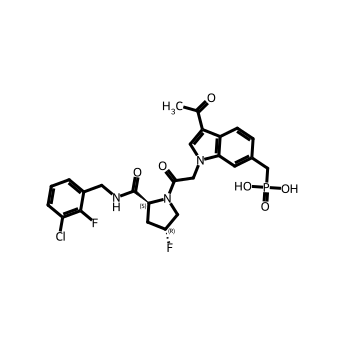 CC(=O)c1cn(CC(=O)N2C[C@H](F)C[C@H]2C(=O)NCc2cccc(Cl)c2F)c2cc(CP(=O)(O)O)ccc12